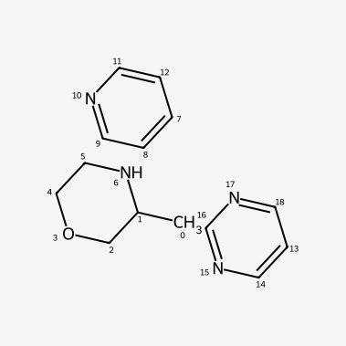 CC1COCCN1.c1ccncc1.c1cncnc1